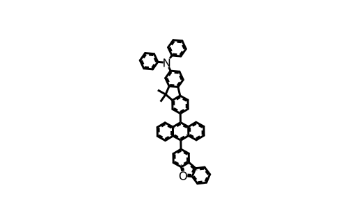 CC1(C)c2cc(-c3c4ccccc4c(-c4ccc5oc6ccccc6c5c4)c4ccccc34)ccc2-c2ccc(N(c3ccccc3)c3ccccc3)cc21